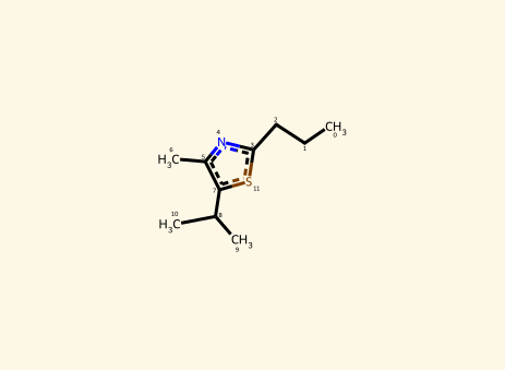 CCCc1nc(C)c(C(C)C)s1